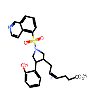 O=C(O)CC/C=C\CC1CN(S(=O)(=O)c2cccc3cnccc23)CC1c1ccccc1O